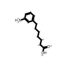 Nc1cccc(CCCCCCC(=O)O)c1